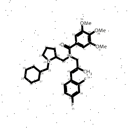 COc1cc(C(=O)N(CC(C)=Cc2ccc(F)cc2F)CC2CCCN2CC2CCCCC2)cc(OC)c1OC